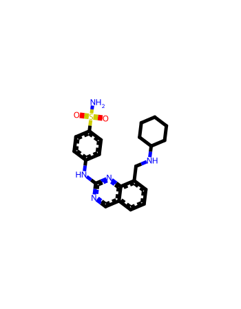 NS(=O)(=O)c1ccc(Nc2ncc3cccc(CNC4CCCCC4)c3n2)cc1